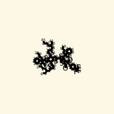 CCCCC(CC)Cc1ccc(-c2c3cc(C(CCCC)(c4ccccc4)C(C)CC)sc3c(-c3ccc(CC(CC)CCCC)s3)c3cc(-c4sc(C(CC)(CCCC)c5ccccc5)c5c6c(sc45)C(=O)N(c4ccc(C(F)(F)F)cc4)C6=O)sc23)s1